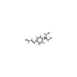 C=CC=Cc1ccc(N(CC)CC)cc1